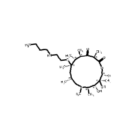 CC[C@H]1OC(=O)[C@H](C)C(=O)[C@H](C)[C@@H](C)[C@](C)(OCCNCCCN)C[C@@H](C)CN(C)[C@H](C)[C@@H](O)[C@]1(C)O